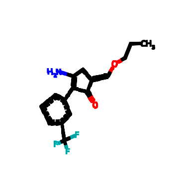 CCCO/C=C1\CC(N)=C(c2cccc(C(F)(F)F)c2)C1=O